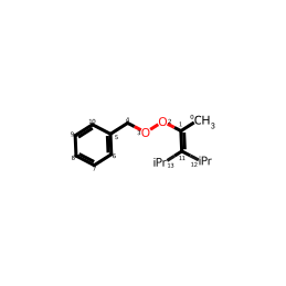 CC(OOCc1ccccc1)=C(C(C)C)C(C)C